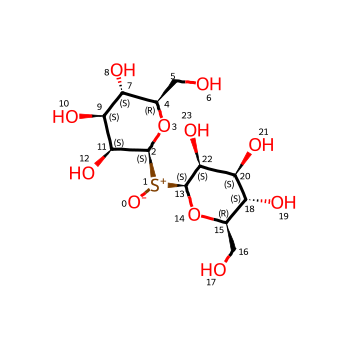 [O-][S+]([C@@H]1O[C@H](CO)[C@@H](O)[C@H](O)[C@@H]1O)[C@@H]1O[C@H](CO)[C@@H](O)[C@H](O)[C@@H]1O